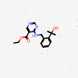 CCOC(=O)c1cncnc1NCc1ccccc1C(C)(C)O